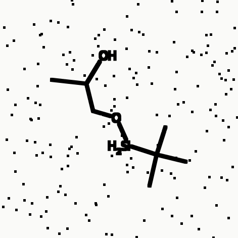 CC(O)CO[SiH2]C(C)(C)C